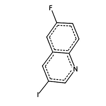 Fc1ccc2ncc(I)cc2c1